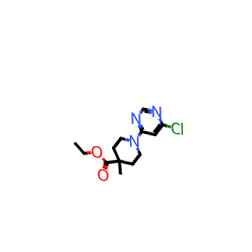 CCOC(=O)C1(C)CCN(c2cc(Cl)ncn2)CC1